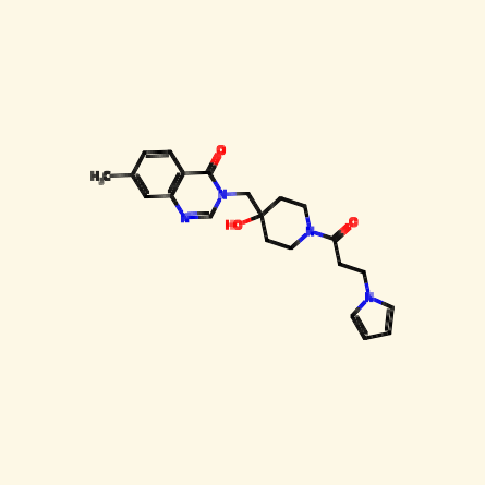 Cc1ccc2c(=O)n(CC3(O)CCN(C(=O)CCn4cccc4)CC3)cnc2c1